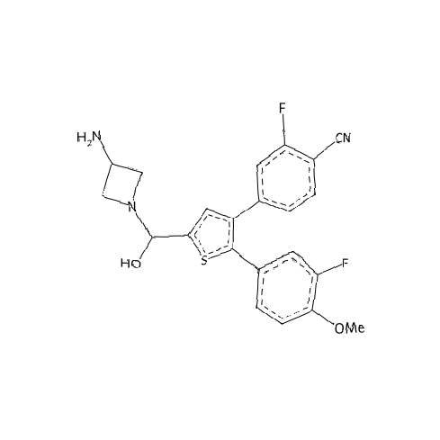 COc1ccc(-c2sc(C(O)N3CC(N)C3)cc2-c2ccc(C#N)c(F)c2)cc1F